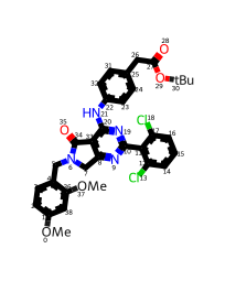 COc1ccc(CN2Cc3nc(-c4c(Cl)cccc4Cl)nc(Nc4ccc(CC(=O)OC(C)(C)C)cc4)c3C2=O)c(OC)c1